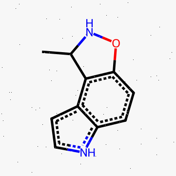 CC1NOc2ccc3[nH]ccc3c21